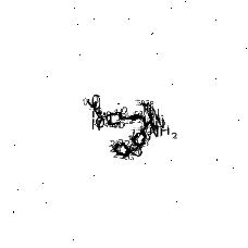 C=CC(=O)NCC(=O)N1CCC(C#Cc2c(-c3ccc(Oc4ccccc4)cc3)c3c(N)ncnc3n2C(C)C)CC1